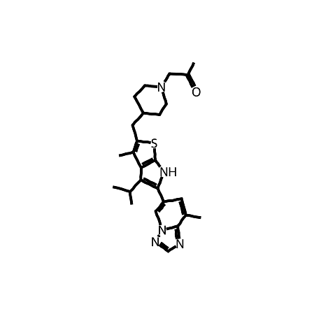 CC(=O)CN1CCC(Cc2sc3[nH]c(-c4cc(C)c5ncnn5c4)c(C(C)C)c3c2C)CC1